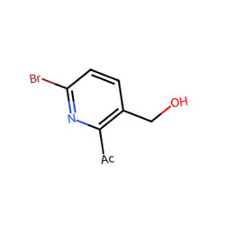 CC(=O)c1nc(Br)ccc1CO